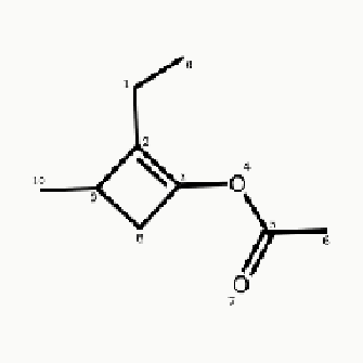 CCC1=C(OC(C)=O)CC1C